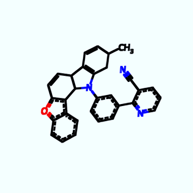 CC1C=CC2=C(C1)N(c1cccc(-c3ncccc3C#N)c1)C1c3c(oc4ccccc34)C=CC21